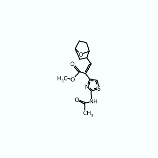 COC(=O)C(=CC1CC2CCC1O2)c1csc(NC(C)=O)n1